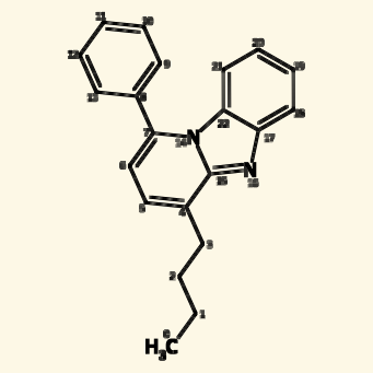 CCCCc1ccc(-c2ccccc2)n2c1nc1ccccc12